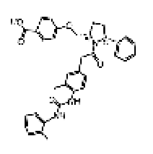 Cc1ccccc1NC(=O)Nc1ccc(CC(=O)N2[C@H](COc3ccc(C(=O)O)cc3)CC[C@@H]2c2ccccc2)cc1C